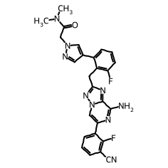 CN(C)C(=O)Cn1cc(-c2cccc(F)c2Cc2nc3c(N)nc(-c4cccc(C#N)c4F)cn3n2)cn1